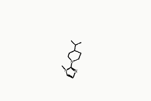 CC(C)C1CCN(c2nccn2C)CC1